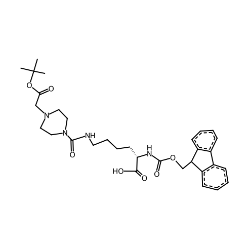 CC(C)(C)OC(=O)CN1CCN(C(=O)NCCCC[C@H](NC(=O)OCC2c3ccccc3-c3ccccc32)C(=O)O)CC1